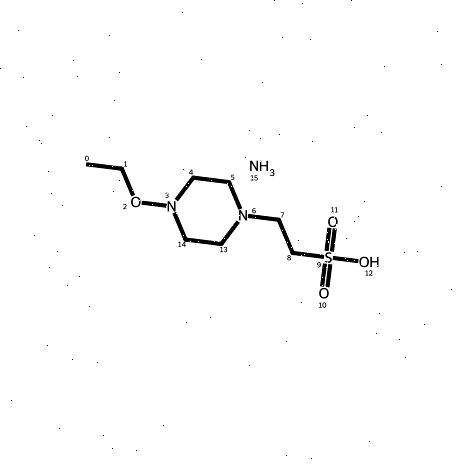 CCON1CCN(CCS(=O)(=O)O)CC1.N